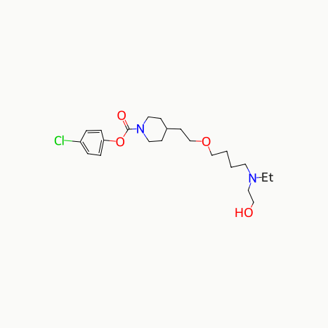 CCN(CCO)CCCCOCCC1CCN(C(=O)Oc2ccc(Cl)cc2)CC1